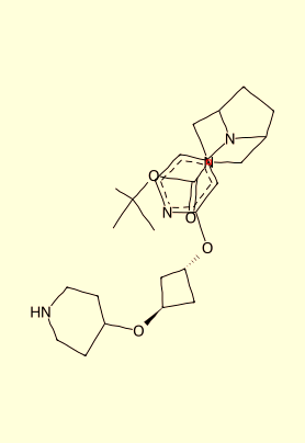 CC(C)(C)OC(=O)N1CC2CCC(C1)N2c1ccnc(O[C@H]2C[C@H](OC3CCNCC3)C2)c1